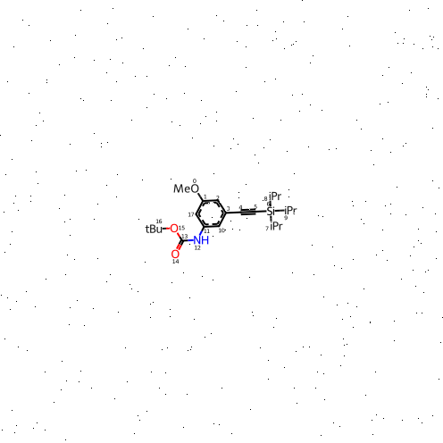 COc1cc(C#C[Si](C(C)C)(C(C)C)C(C)C)cc(NC(=O)OC(C)(C)C)c1